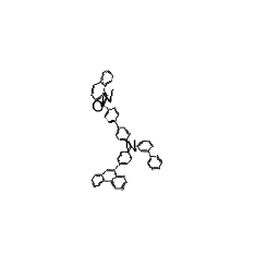 c1ccc(-c2cccc(N(c3ccc(-c4ccc(-c5nc6c(ccc7ccccc76)o5)cc4)cc3)c3ccc(-c4cc5ccccc5c5ccccc45)cc3)c2)cc1